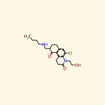 CCCCNCC1CCc2cc(Cl)c3c(c2C1=O)CCC(=O)N3CCO